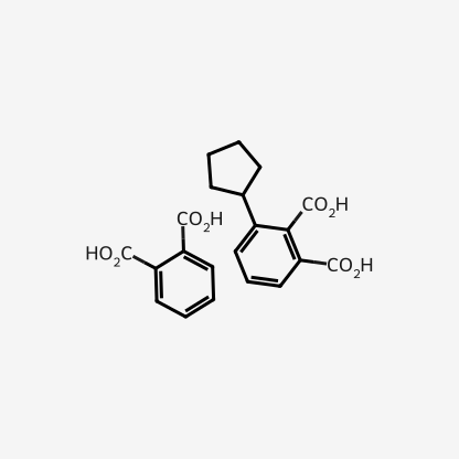 O=C(O)c1cccc(C2CCCC2)c1C(=O)O.O=C(O)c1ccccc1C(=O)O